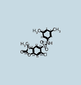 Cc1cc(C)cc(NS(=O)(=O)c2cc3c(cc2Cl)oc(=O)n3C)c1